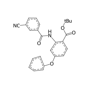 CC(C)(C)OC(=O)c1ccc(Oc2ccccc2)cc1NC(=O)c1cccc(C#N)c1